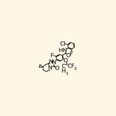 C[C@H](Oc1cc(-n2nc3n(c2=O)CCCC2(CC2)C3)c(F)cc1C(=O)Nc1c(F)cccc1Cl)C(F)(F)F